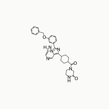 N[N+]12C=CN=CC1=C(C1CCC(C(=O)N3CCNC(=O)C3)CC1)N=C2c1cccc(OCc2ccccc2)c1